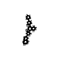 c1ccc(-c2ccc3c(c2)oc2c4oc5cc(-c6ccc7ccccc7c6)ccc5c4c4ccccc4c32)cc1